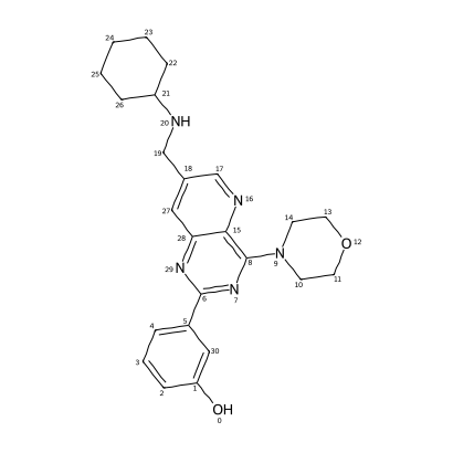 Oc1cccc(-c2nc(N3CCOCC3)c3ncc(CNC4CCCCC4)cc3n2)c1